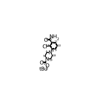 CC(C)(C)OC(=O)N1CCN(c2cccc(C(N)=O)c2Cl)CC1